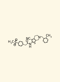 Cc1ccccc1CN1CCc2c(sc(NC(=O)Cc3ccc(S(C)(=O)=O)cc3)c2C#N)C1